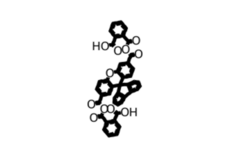 O=C(OC(=O)c1ccccc1C(=O)O)c1ccc2c(c1)Oc1ccc(C(=O)OC(=O)c3ccccc3C(=O)O)cc1C21c2ccccc2-c2ccccc21